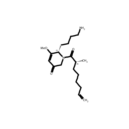 C=CCCCC[C@@H](C)C(=O)N1CC(=O)C=C(OC)[C@@H]1CCCCN